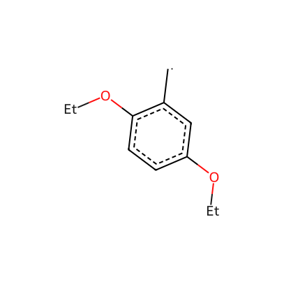 [CH2]c1cc(OCC)ccc1OCC